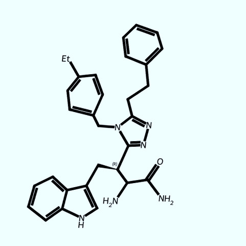 CCc1ccc(Cn2c(CCc3ccccc3)nnc2[C@H](Cc2c[nH]c3ccccc23)C(N)C(N)=O)cc1